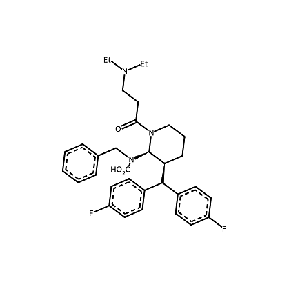 CCN(CC)CCC(=O)N1CCC[C@@H](C(c2ccc(F)cc2)c2ccc(F)cc2)[C@H]1N(Cc1ccccc1)C(=O)O